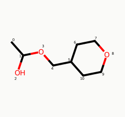 CC(O)OCC1CCOCC1